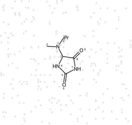 CC(C)N(C)C1NC(=O)NC1=O